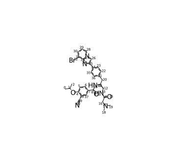 CC(C)Oc1ccc(C(=O)N[C@H](CNC(=O)CN(C)C)Cc2ccc(-c3cn4cccc(Br)c4n3)cc2)cc1C#N